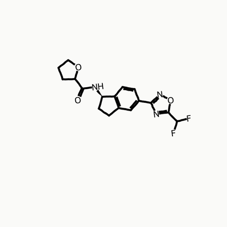 O=C(N[C@@H]1CCc2cc(-c3noc(C(F)F)n3)ccc21)C1CCCO1